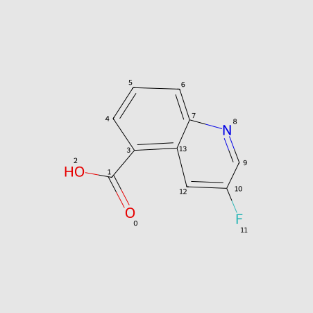 O=C(O)c1cccc2ncc(F)cc12